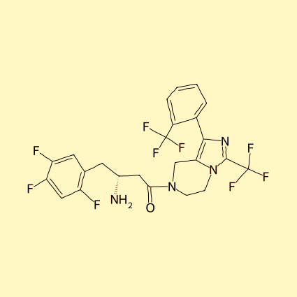 N[C@@H](CC(=O)N1CCn2c(C(F)(F)F)nc(-c3ccccc3C(F)(F)F)c2C1)Cc1cc(F)c(F)cc1F